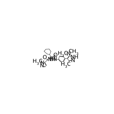 Cc1n[nH]c(N(C)C)c1-c1ccc(NC(=O)[C@@H](NC(=O)c2ccnn2C)C2CCCCC2)cc1